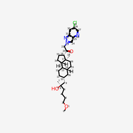 COCCCC[C@@](C)(O)C[C@@H]1CC[C@@H]2[C@H](CC[C@]3(C)[C@@H](C(=O)Cn4cc5ncc(Cl)cc5n4)CC[C@@H]23)C1